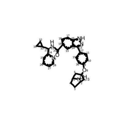 CN1C2CCC1CC(Oc1ccc(-c3n[nH]c4ccc(C(=O)N[C@@H](c5ccccn5)C5CC5)cc34)cc1)C2